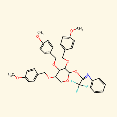 COc1ccc(COC2COC(O/C(=N/c3ccccc3)C(F)(F)F)C(OCc3ccc(OC)cc3)C2OCc2ccc(OC)cc2)cc1